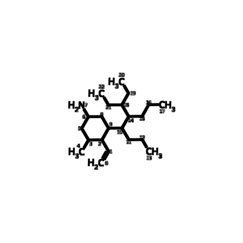 C=CC1C(C)CC(N)CC1C(CCC)C(CCC)C(CC)CC